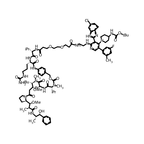 CC[C@@H](C)[C@H]([C@H](CC(=O)N1CCC[C@@H]1[C@@H](OC)[C@H](C)C(=O)N[C@@H](C)[C@H](O)c1ccccc1)OC)N(C)C(=O)C(NC(=O)[C@@H](C(C)C)N(C)C(=O)OCc1ccc(NC(=O)[C@H](CCCNC(N)=O)NC(=O)[C@@H](NC(=O)CCOCCOCCC(=O)NCCNc2ncc(-c3cc(C)cc(F)c3)c(N3CCC(NC(=O)OC(C)(C)C)CC3)c2-c2nc3ccc(Cl)cc3[nH]2)C(C)C)cc1)C(C)C